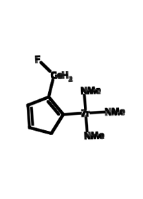 C[NH][Zr]([NH]C)([NH]C)[C]1=[C]([GeH2][F])C=CC1